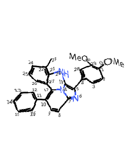 COc1ccc(-c2nc3ccc(-c4ccccc4)c4n3c2Nc2c(C)cccc2-4)cc1OC